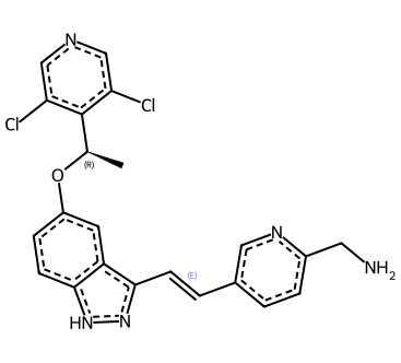 C[C@@H](Oc1ccc2[nH]nc(/C=C/c3ccc(CN)nc3)c2c1)c1c(Cl)cncc1Cl